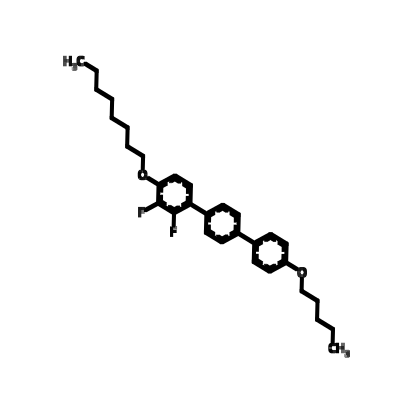 CCCCCCCCOc1ccc(-c2ccc(-c3ccc(OCCCCC)cc3)cc2)c(F)c1F